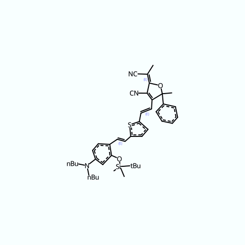 [C-]#[N+]C1=C(/C=C/c2ccc(/C=C/c3ccc(N(CCCC)CCCC)cc3O[Si](C)(C)C(C)(C)C)s2)C(C)(c2ccccc2)O/C1=C(\C)C#N